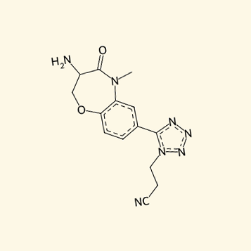 CN1C(=O)C(N)COc2ccc(-c3nnnn3CCC#N)cc21